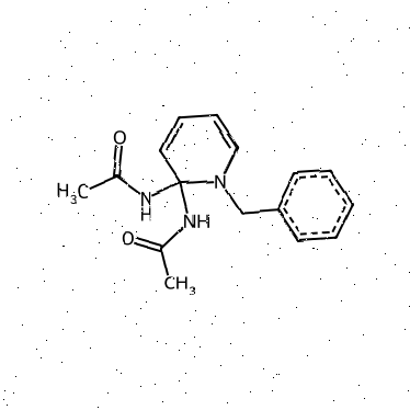 CC(=O)NC1(NC(C)=O)C=CC=CN1Cc1ccccc1